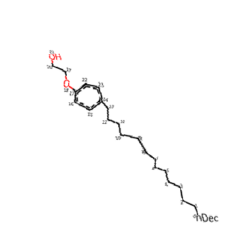 CCCCCCCCCCCCCCCCCCCCCCCc1ccc(OCCO)cc1